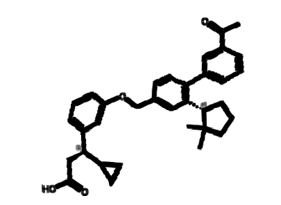 CC(=O)c1cccc(-c2ccc(COc3cccc([C@H](CC(=O)O)C4CC4)c3)cc2[C@@H]2CCCC2(C)C)c1